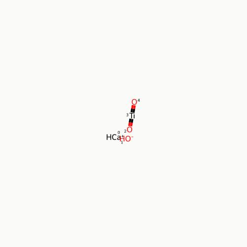 [CaH+].[OH-].[O]=[Ti]=[O]